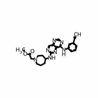 C#Cc1cccc(Nc2ncnc3cnc(NC4CCCN(CC(=O)OC)CC4)nc23)c1